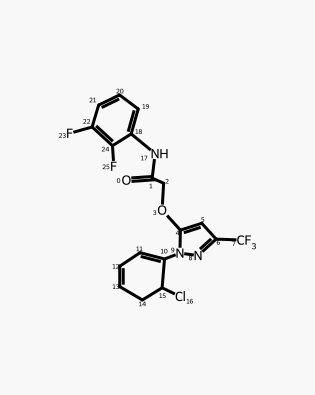 O=C(COc1cc(C(F)(F)F)nn1C1=CC=CCC1Cl)Nc1cccc(F)c1F